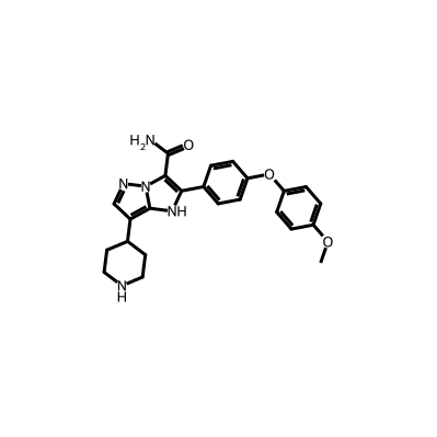 COc1ccc(Oc2ccc(-c3[nH]c4c(C5CCNCC5)cnn4c3C(N)=O)cc2)cc1